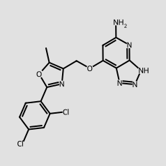 Cc1oc(-c2ccc(Cl)cc2Cl)nc1COc1cc(N)nc2[nH]nnc12